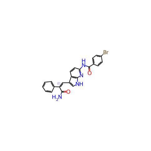 NC(=O)/C(=C\c1c[nH]c2nc(NC(=O)c3ccc(Br)cc3)ccc12)c1ccccc1